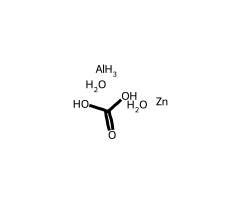 O.O.O=C(O)O.[AlH3].[Zn]